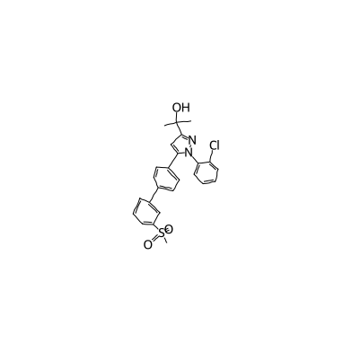 CC(C)(O)c1cc(-c2ccc(-c3cccc(S(C)(=O)=O)c3)cc2)n(-c2ccccc2Cl)n1